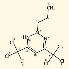 CCCN1N=C(C(Cl)(Cl)Cl)C=C(C(Cl)(Cl)Cl)N1